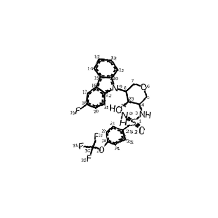 N=S(=O)(NC1COCC(n2c3ccccc3c3cc(F)ccc32)C1O)c1ccc(OC(F)(F)F)cc1